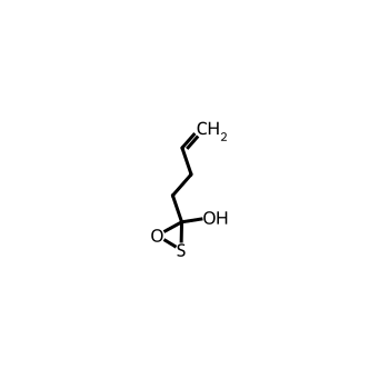 C=CCCC1(O)OS1